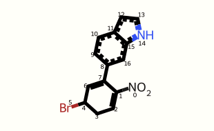 O=[N+]([O-])C1=CCC(Br)C=C1c1ccc2cc[nH]c2c1